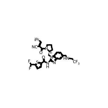 CC(C)C=C(C#N)C(=O)N1CCC[C@@H]1Cn1c(NC(=O)c2ccc(C(F)F)s2)nc2cc(CNCC(F)(F)F)ccc21